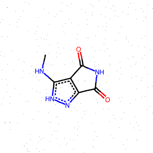 CNc1[nH]nc2c1C(=O)NC2=O